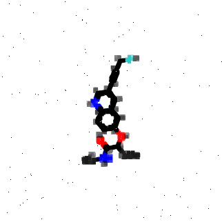 CSC(Oc1ccc2ncc(C#CCF)cc2c1)C(=O)NC(C)(C)C